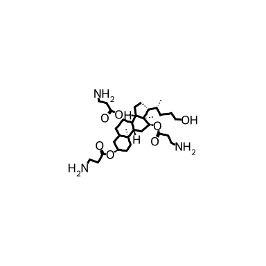 C[C@H](CCCO)[C@H]1CC[C@H]2C3[C@H](OC(=O)CCN)CC4C[C@H](OC(=O)CCN)CC[C@]4(C)[C@H]3C[C@H](OC(=O)CCN)[C@]12C